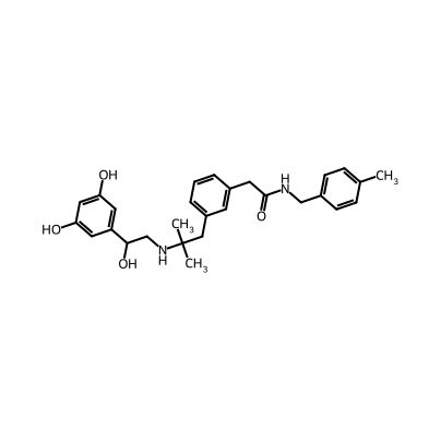 Cc1ccc(CNC(=O)Cc2cccc(CC(C)(C)NCC(O)c3cc(O)cc(O)c3)c2)cc1